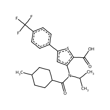 CC1CCC(C(=O)N(c2cc(-c3ccc(C(F)(F)F)cc3)sc2C(=O)O)C(C)C)CC1